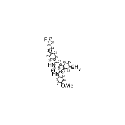 COc1ccc(NC(=O)C2=C(c3ccc(C)cc3)C[C@H](c3ccc(OCCCC(F)(F)F)cc3)NC2=O)cc1